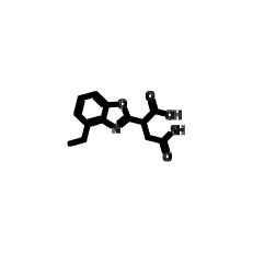 CCc1cccc2oc(C(CC(=O)S)C(=O)O)nc12